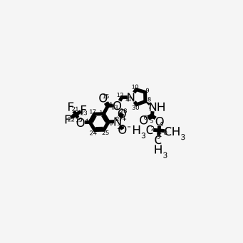 CC(C)(C)OC(=O)N[C@@H]1CCN(COC(=O)c2cc(OC(F)(F)F)ccc2[N+](=O)[O-])C1